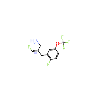 NC/C(=C\F)Cc1cc(OC(F)(F)F)ccc1F